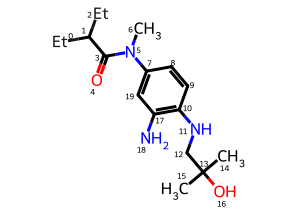 CCC(CC)C(=O)N(C)c1ccc(NCC(C)(C)O)c(N)c1